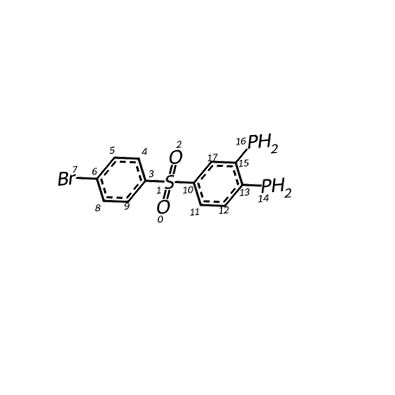 O=S(=O)(c1ccc(Br)cc1)c1ccc(P)c(P)c1